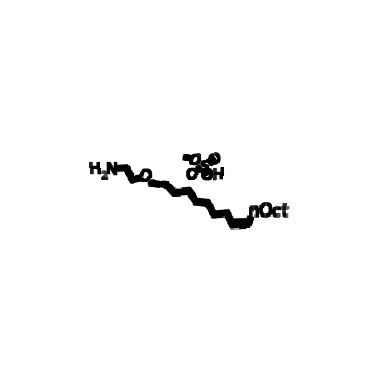 CCCCCCCC/C=C\CCCCCCCCOCCN.COS(=O)(=O)O